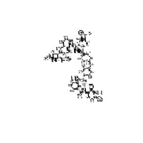 CC(=O)N1CCc2c(c(N3CCCc4cc(-c5cnn(C)c5)c(C(F)F)cc43)nn2C2CCN(Cc3ccc(CNc4cccc5c4CN(C4CCC(=O)NC4=O)C5=O)cc3)CC2)C1